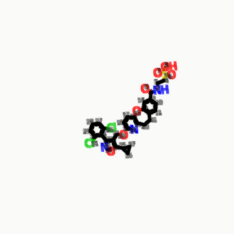 O=C(NCCS(=O)(=O)O)c1ccc2c(c1)Oc1ccc(OCc3c(-c4c(Cl)cccc4Cl)noc3C3CC3)nc1CC2